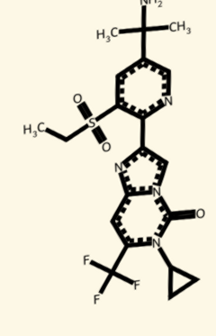 CCS(=O)(=O)c1cc(C(C)(C)N)cnc1-c1cn2c(=O)n(C3CC3)c(C(F)(F)F)cc2n1